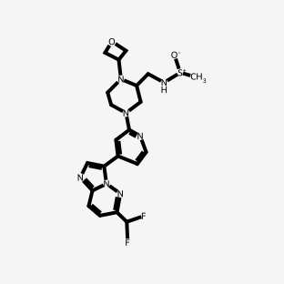 C[S+]([O-])NCC1CN(c2cc(-c3cnc4ccc(C(F)F)nn34)ccn2)CCN1C1COC1